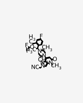 CC(OC(F)F)c1cc(F)ccc1C(C)N1C[C@H](C)N(c2cc(=O)n(C)c3cn(CC#N)nc23)C[C@H]1C